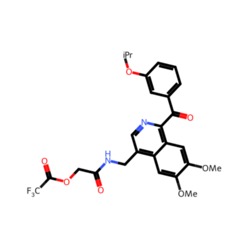 COc1cc2c(CNC(=O)COC(=O)C(F)(F)F)cnc(C(=O)c3cccc(OC(C)C)c3)c2cc1OC